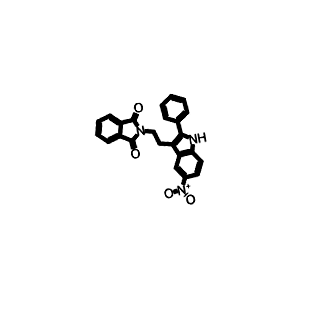 O=C1c2ccccc2C(=O)N1CCc1c(-c2ccccc2)[nH]c2ccc([N+](=O)[O-])cc12